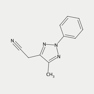 Cc1nn(-c2ccccc2)nc1CC#N